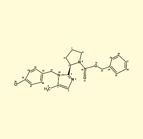 Cc1cnc([C@H]2CCCN2C(=O)OCc2ccccc2)n1Cc1ccc(Cl)cc1